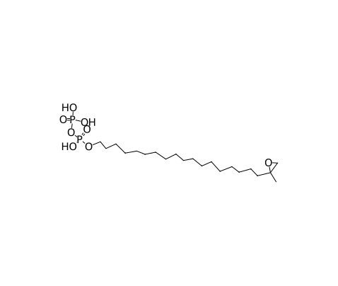 CC1(CCCCCCCCCCCCCCCCCCOP(=O)(O)OP(=O)(O)O)CO1